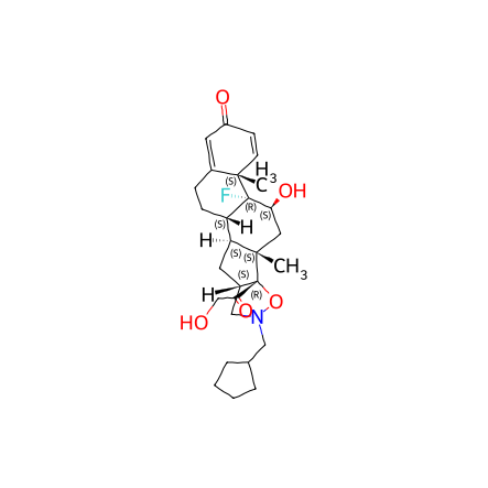 C[C@]12C=CC(=O)C=C1CC[C@H]1[C@@H]3C[C@H]4CN(CC5CCCC5)O[C@@]4(C(=O)CO)[C@@]3(C)C[C@H](O)[C@@]12F